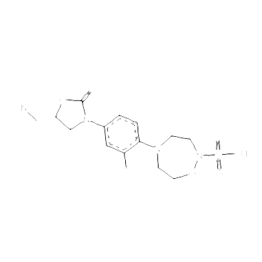 CS(=O)(=O)N1CCN(c2ccc(N3C[C@H](CN)OC3=O)cc2F)CCO1